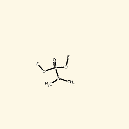 CN(C)P(=O)(OF)OF